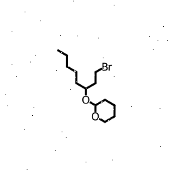 CCCCCC(CCBr)OC1CCCCO1